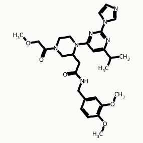 COCC(=O)N1CCN(c2cc(C(C)C)nc(-n3ccnc3)n2)C(CC(=O)NCc2ccc(OC)c(OC)c2)C1